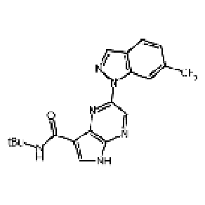 CC(C)(C)NC(=O)c1c[nH]c2ncc(-n3ncc4ccc(C(F)(F)F)cc43)nc12